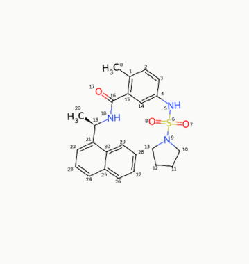 Cc1ccc(NS(=O)(=O)N2CCCC2)cc1C(=O)N[C@H](C)c1cccc2ccccc12